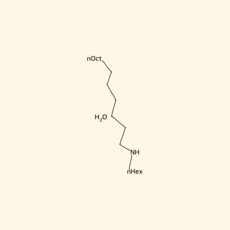 CCCCCCCCCCCCCCNCCCCCC.O